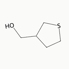 OCC1CCSC1